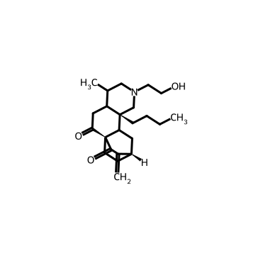 C=C1C(=O)[C@]23CC[C@H]1CC2[C@@]1(CCCC)CN(CCO)CC(C)C1CC3=O